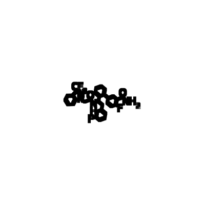 NC(=O)c1cc(-c2ccccc2C(Cc2cccc(F)c2)NC(=O)Cn2nc(C(F)(F)F)c3ccccc32)ccc1F